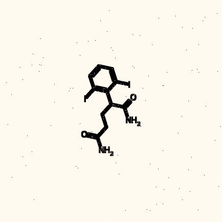 NC(=O)CCC(C(N)=O)c1c(I)cccc1I